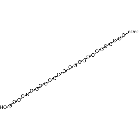 CCCCCCCCCCCCCOCCOCCOCCOCCOCCOCCOCCOCCOCCOCCOCCOCCOCCCOCCCOCCOCCOCCOCCOCCOCCOCCOCCOCCOCCOCCOCCO